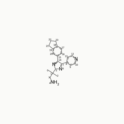 CC(C)(CN)C1N=C(c2ccncc2)C(c2ccc3c(c2)CCC3)=N1